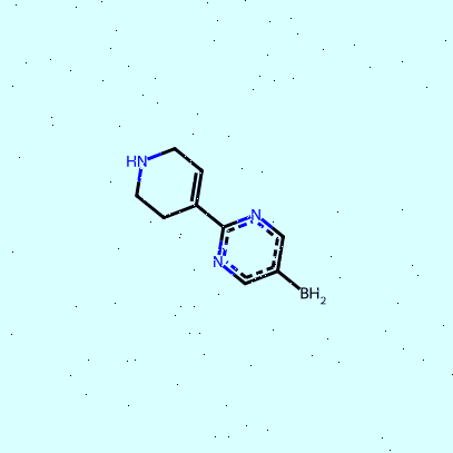 Bc1cnc(C2=CCNCC2)nc1